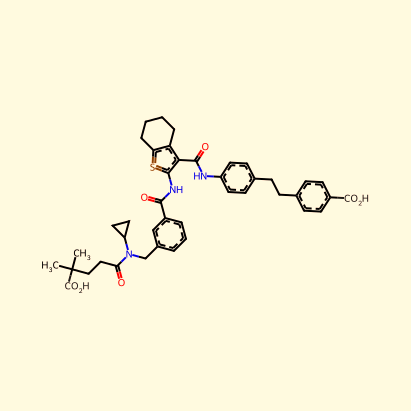 CC(C)(CCC(=O)N(Cc1cccc(C(=O)Nc2sc3c(c2C(=O)Nc2ccc(CCc4ccc(C(=O)O)cc4)cc2)CCCC3)c1)C1CC1)C(=O)O